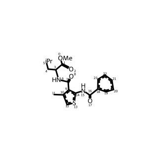 COC(=O)C(CC(C)C)NC(=O)c1c(C)csc1NC(=O)c1ccccc1